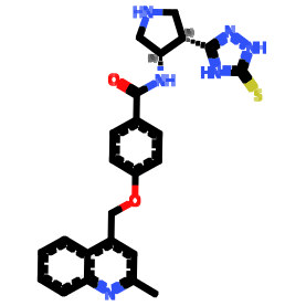 Cc1cc(COc2ccc(C(=O)N[C@@H]3CNC[C@@H]3c3n[nH]c(=S)[nH]3)cc2)c2ccccc2n1